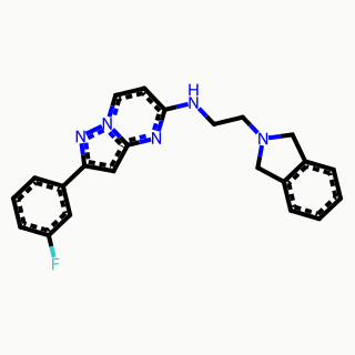 Fc1cccc(-c2cc3nc(NCCN4Cc5ccccc5C4)ccn3n2)c1